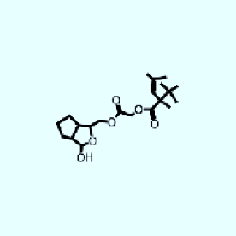 CC(C)=CC(C)(C(=O)OCC(=O)OCC1OC(O)C2CCCC12)C(C)(C)C